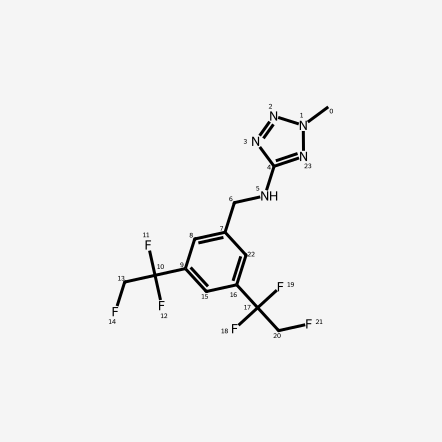 Cn1nnc(NCc2cc(C(F)(F)CF)cc(C(F)(F)CF)c2)n1